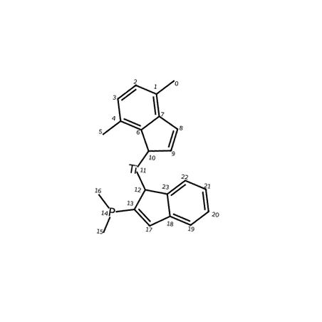 Cc1ccc(C)c2c1C=C[CH]2[Ti][CH]1C(P(C)C)=Cc2ccccc21